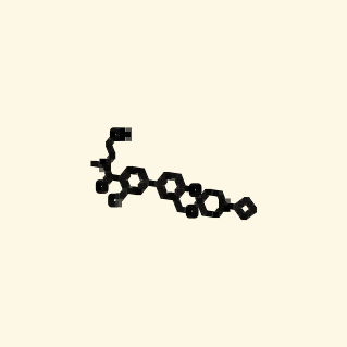 CN(CCO)C(=O)c1ccc(-c2ccc3c(c2)COC2(CCN(C4CCC4)CC2)O3)cc1Cl